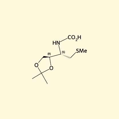 CSC[C@@H](NC(=O)O)[C@@H]1COC(C)(C)O1